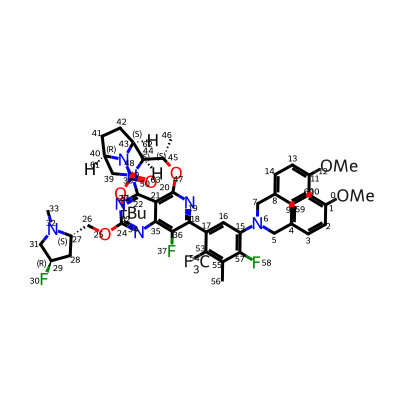 COc1ccc(CN(Cc2ccc(OC)cc2)c2cc(-c3nc4c5c(nc(OC[C@@H]6C[C@@H](F)CN6C)nc5c3F)N3C[C@H]5CC[C@@H]([C@H]3[C@H](C)O4)N5C(=O)OC(C)(C)C)c(C(F)(F)F)c(C)c2F)cc1